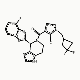 O=C(c1cnn(CC2CC(F)(F)C2)c1Cl)N1CCc2[nH]cnc2[C@H]1c1nc2c(F)cccc2s1